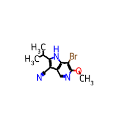 COc1ncc2c(C#N)c(C(C)C)[nH]c2c1Br